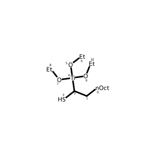 CCCCCCCCC[CH](S)[Ti]([O]CC)([O]CC)[O]CC